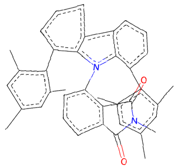 Cc1cc(C)c(-c2cccc3c4cccc(-c5c(C)cc(C)cc5C)c4n(-c4cccc5c4C(=O)N(C)C5=O)c23)c(C)c1